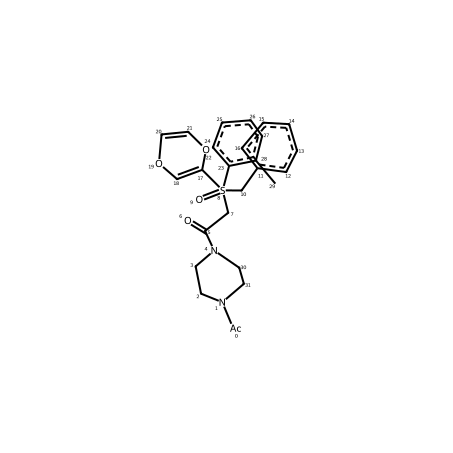 CC(=O)N1CCN(C(=O)CS(=O)(Cc2ccccc2)(C2=COC=CO2)c2ccccc2C)CC1